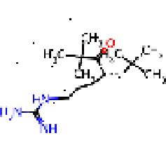 CC(C)(C)C[C@H](CCCNC(=N)N)C(=O)C(C)(C)C